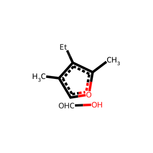 CCc1c(C)coc1C.O=CO